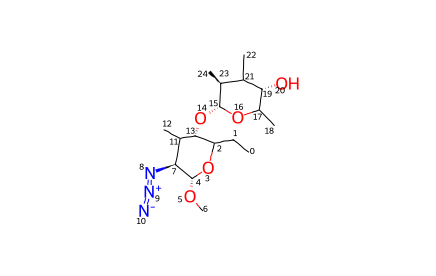 CCC1O[C@H](OC)[C@@H](N=[N+]=[N-])C(C)[C@@H]1O[C@H]1OC(C)[C@@H](O)C(C)[C@@H]1C